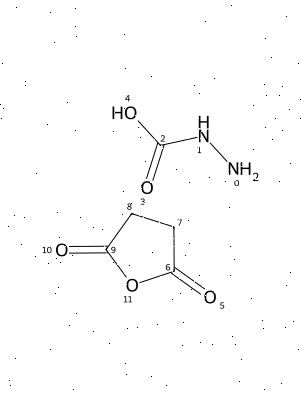 NNC(=O)O.O=C1CCC(=O)O1